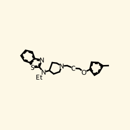 CCN(c1nc2ccccc2s1)C1CCN(CCCOc2ccc(C)cc2)CC1